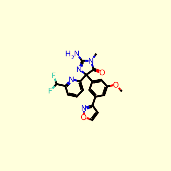 COc1cc(-c2ccon2)cc(C2(c3cccc(C(F)F)n3)N=C(N)N(C)C2=O)c1